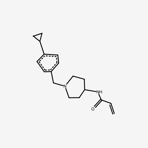 C=CC(=O)NC1CCN(Cc2ccc(C3CC3)cc2)CC1